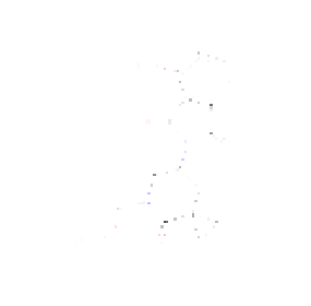 CC(C)(C)OC(=O)N1C(=O)C(N2C(=O)c3cccc(O)c3C2=O)CC2(CC2)C1=O